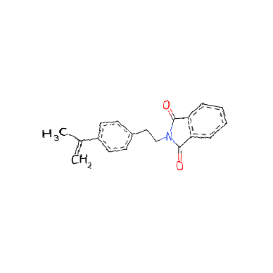 C=C(C)c1ccc(CCN2C(=O)c3ccccc3C2=O)cc1